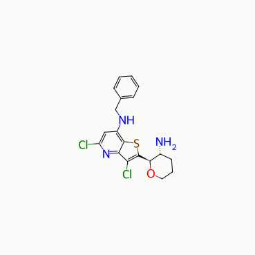 N[C@@H]1CCCO[C@H]1c1sc2c(NCc3ccccc3)cc(Cl)nc2c1Cl